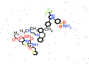 CC(=O)OCC1=C(C(=O)O)N2C(=O)[C@@H](NC(=O)Cc3cccs3)[C@H]2SC1.CN(C)CCCN1c2ccccc2CCc2ccccc21.Cc1ccc(-c2cc(C(F)(F)F)nn2-c2ccc(S(N)(=O)=O)cc2)cc1